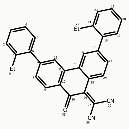 CCc1ccccc1-c1ccc2c(c1)-c1cc(-c3ccccc3CC)ccc1C(=C(C#N)C#N)C2=O